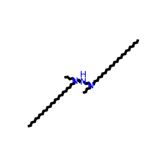 CCCCCCCCCCCCCCCCCCCCCCCCN(C=CNC=CN(CCCC)CCCCCCCCCCCCCCCCCCCCCCCC)CCCC